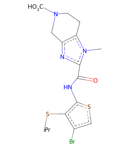 CC(C)Sc1c(Br)csc1NC(=O)c1nc2c(n1C)CCN(C(=O)O)C2